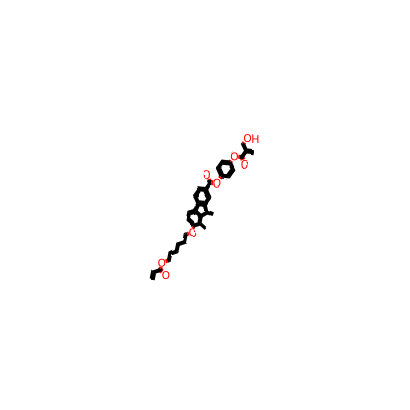 C=CC(=O)OCCCCCCOc1ccc2c(c1C)C(C)c1cc(C(=O)Oc3ccc(OC(=O)C(=C)CO)cc3)ccc1-2